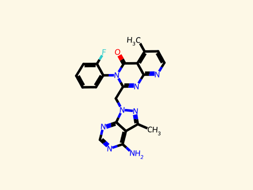 Cc1nn(Cc2nc3nccc(C)c3c(=O)n2-c2ccccc2F)c2ncnc(N)c12